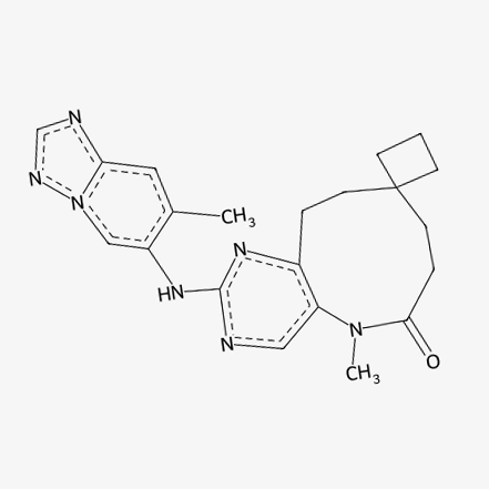 Cc1cc2ncnn2cc1Nc1ncc2c(n1)CCC1(CCC1)CCC(=O)N2C